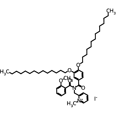 CCCCCCCCCCCCCCOc1ccc(C(=O)N(Cc2cccc[n+]2C)C(=O)c2ccccc2OC)cc1OCCCCCCCCCCCCCC.[I-]